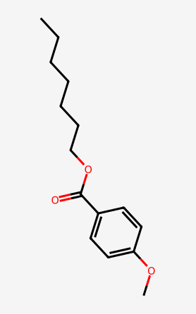 CCCCCCCOC(=O)c1ccc(OC)cc1